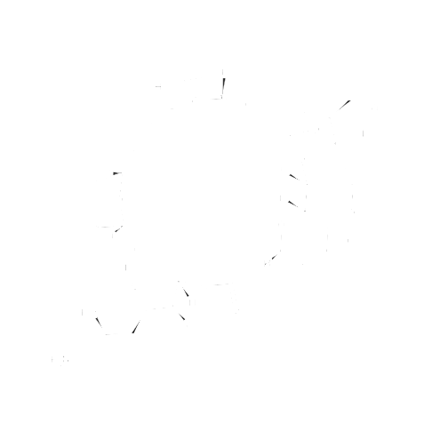 C=C1C[C@@H]2CC[C@]34C[C@@H](COC)[C@H](O3)C3C[C@@H](O4)[C@H]4O[C@H](CC[C@@H]4O3)CC(=O)C[C@@H]3[C@@H](OC)[C@@H](C[C@H](O)CN)O[C@H]3C[C@H]3O[C@@H](CC[C@@H]1O2)C[C@@H](C)C3=C